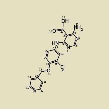 Nc1ncnc(Nc2ccc(OCc3ccccc3)c(Cl)c2)c1C(=O)O